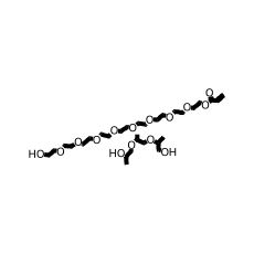 C=CC(=O)OCCOCCOCCOCCOCCOCCOCCOCCOCCO.CC(O)COC(C)COC(C)CO